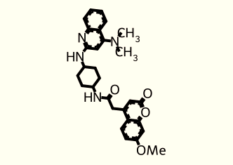 COc1ccc2c(CC(=O)NC3CCC(Nc4cc(N(C)C)c5ccccc5n4)CC3)cc(=O)oc2c1